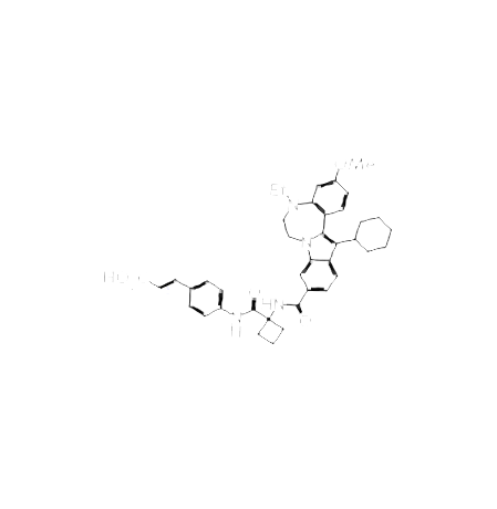 CCN1CCn2c(c(C3CCCCC3)c3ccc(C(=O)NC4(C(=O)Nc5ccc(/C=C/C(=O)O)cc5)CCC4)cc32)-c2ccc(OC)cc21